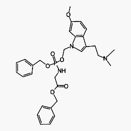 COc1ccc2c(CCN(C)C)cn(COP(=O)(NCC(=O)OCc3ccccc3)OCc3ccccc3)c2c1